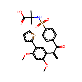 C=C(C(=O)c1ccc(S(=O)(=O)NC(C)(C)C(=O)O)cc1)c1cc(-c2cccs2)c(OC)cc1OC